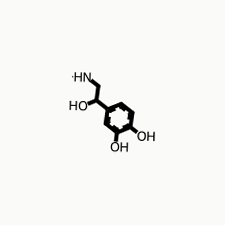 [NH]CC(O)c1ccc(O)c(O)c1